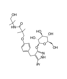 CC(C)c1[nH]nc(O[C@@H]2O[C@H](CO)[C@@H](O)[C@H](O)[C@H]2O)c1Cc1ccc(OCC(C)(C)C(=O)NC(C)(C)CO)cc1